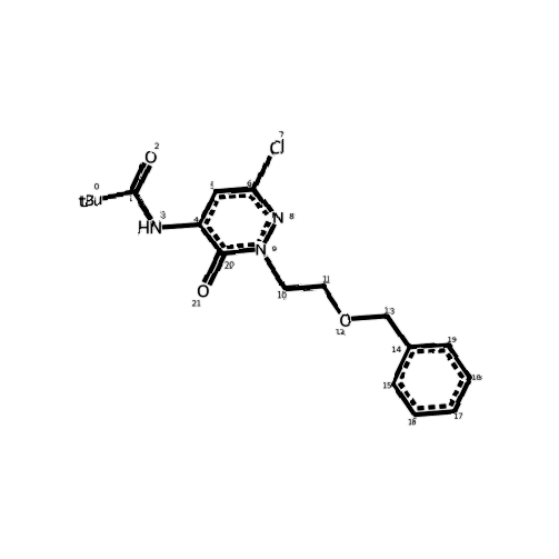 CC(C)(C)C(=O)Nc1cc(Cl)nn(CCOCc2ccccc2)c1=O